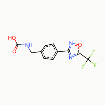 O=C(O)NCc1ccc(-c2noc(C(F)(F)F)n2)cc1